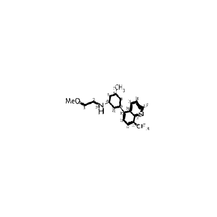 COCCN[C@@H]1C[C@H](C)C[C@@H](c2ccc(C(F)(F)F)c3ncccc23)C1